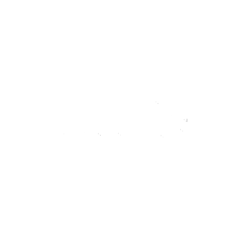 Nc1n[nH]c2ccnc(-c3ccc(NC(=O)Nc4cccc(C(F)(F)F)c4)cc3)c12